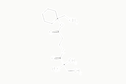 CCC1(OC(=O)CCOC(=O)C(C)(C)CC)CCCCC1